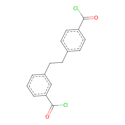 O=C(Cl)c1ccc(CCc2cccc(C(=O)Cl)c2)cc1